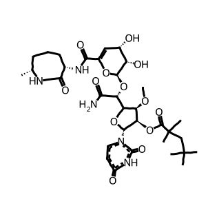 CO[C@@H]1C([C@@H](O[C@H]2OC(C(=O)N[C@H]3CCC[C@@H](C)NC3=O)=C[C@H](O)[C@@H]2O)C(N)=O)O[C@@H](n2ccc(=O)[nH]c2=O)[C@@H]1OC(=O)C(C)(C)CC(C)(C)C